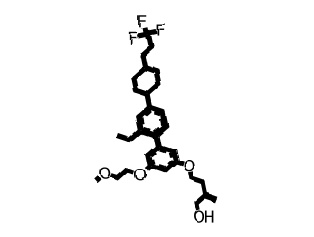 C=C(CO)CCOc1cc(OCCOC)cc(-c2ccc(C3CCC(CCC(F)(F)F)CC3)cc2CC)c1